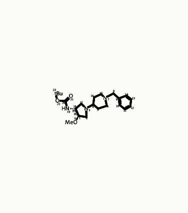 CO[C@@H]1CN(C2CCN(Cc3ccccc3)CC2)C[C@H]1NC(=O)OC(C)(C)C